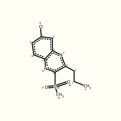 CCCc1nc2cc(Cl)ccc2nc1S(C)(=O)=O